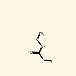 COC(=O)OOP